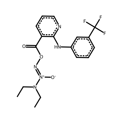 CCN(CC)[N+]([O-])=NOC(=O)c1cccnc1Nc1cccc(C(F)(F)F)c1